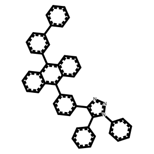 c1ccc(-c2cccc(-c3c4ccccc4c(-c4cccc(-c5nnn(-c6ccccc6)c5-c5ccccc5)c4)c4ccccc34)c2)cc1